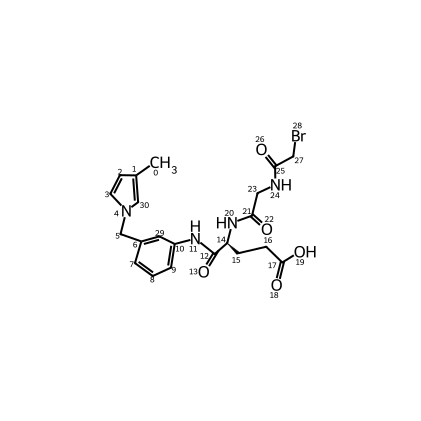 Cc1ccn(Cc2cccc(NC(=O)[C@H](CCC(=O)O)NC(=O)CNC(=O)CBr)c2)c1